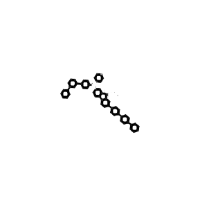 Cc1ccc(N(c2ccc(-c3cccc(-c4ccccc4)c3)cc2)c2ccc3c(c2)C(C)(C)c2cc(-c4ccc(-c5ccc(-c6ccccc6)cc5)cc4)ccc2-3)cc1